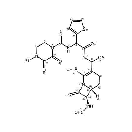 CCN1CCN(C(=O)NC(C(=O)NC(OC(C)=O)C2=C(C(=O)O)N3C(=O)[C@H](NC=O)[C@H]3SC2)c2cccs2)C(=O)C1=O